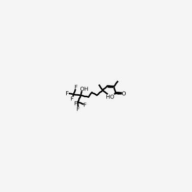 CC(=CC(C)(C)CCCC(O)(C(F)(F)F)C(F)(F)F)C(=O)O